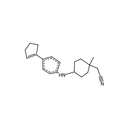 CC1(CC#N)CCC(Nc2ccc(C3=CCCC3)cc2)CC1